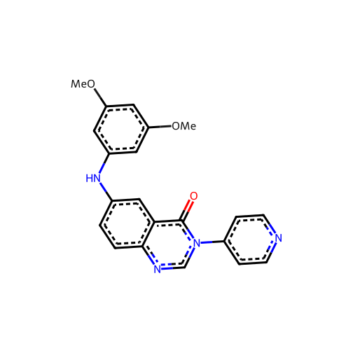 COc1cc(Nc2ccc3ncn(-c4ccncc4)c(=O)c3c2)cc(OC)c1